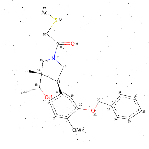 COc1ccc([C@@H]2CN(C(=O)CSC(C)=O)C[C@@]2(C)[C@@H](C)O)cc1OCc1ccccc1